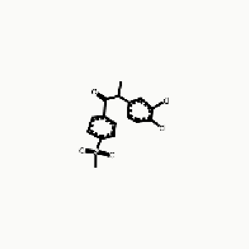 CC(C(=O)c1ccc(S(C)(=O)=O)cc1)c1ccc(Cl)c(Cl)c1